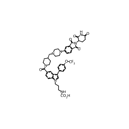 O=C(O)NCCCn1cc(-c2ccc(OC(F)(F)F)cc2)c2cc(C(=O)N3CCC(CN4CCN(c5ccc6c(c5)C(=O)N(C5CCC(=O)NC5=O)C6=O)CC4)CC3)ccc21